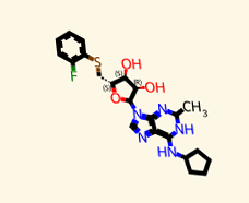 CC1N=c2c(ncn2C2O[C@H](CSc3ccccc3F)[C@@H](O)[C@H]2O)=C(NC2CCCC2)N1